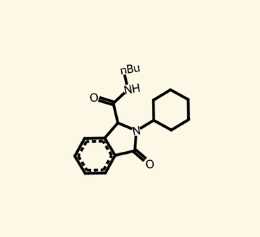 CCCCNC(=O)C1c2ccccc2C(=O)N1C1CCCCC1